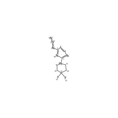 [N-]=[N+]=Nc1ccnc(N2CCC(F)(F)CC2)n1